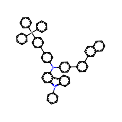 c1ccc(-n2c3ccccc3c3c(N(c4ccc(-c5ccc([Si](c6ccccc6)(c6ccccc6)c6ccccc6)cc5)cc4)c4ccc(-c5cccc(-c6ccc7ccccc7c6)c5)cc4)cccc32)cc1